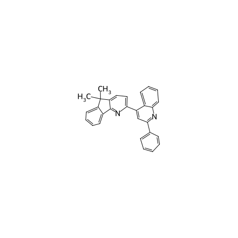 CC1(C)c2ccccc2-c2nc(-c3cc(-c4ccccc4)nc4ccccc34)ccc21